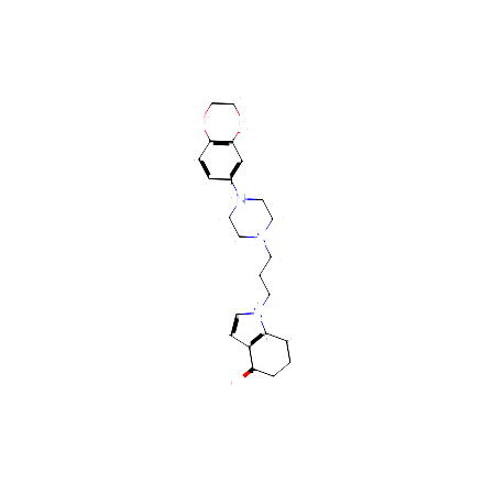 O=C1CCCc2c1ccn2CCCN1CCN(c2ccc3c(c2)OCCO3)CC1